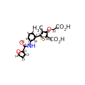 Cc1c(-c2cccc(NC(=O)c3ccco3)c2)sc(C(=O)O)c1OCC(=O)O